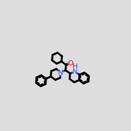 O=C(C1CCCCC1)C(C1CCc2ccccc2N1)N1CCC(c2ccccc2)CC1